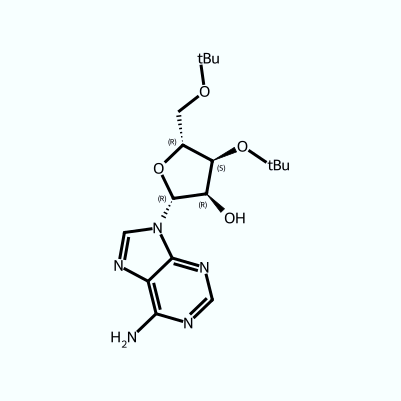 CC(C)(C)OC[C@H]1O[C@@H](n2cnc3c(N)ncnc32)[C@H](O)[C@@H]1OC(C)(C)C